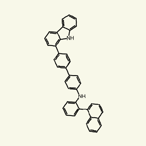 c1ccc(-c2cccc3ccccc23)c(Nc2ccc(-c3ccc(-c4cccc5c4[nH]c4ccccc45)cc3)cc2)c1